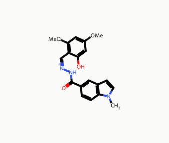 COc1cc(O)c(/C=N\NC(=O)c2ccc3c(ccn3C)c2)c(OC)c1